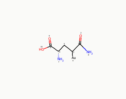 NC(=O)[CH]([Au])C[C@H](N)C(=O)O